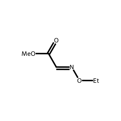 CCON=CC(=O)OC